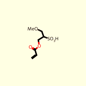 C=CC(=O)OCC(COC)S(=O)(=O)O